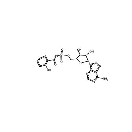 Nc1ncnc2c1ncn2[C@@H]1O[C@H](COS(=O)(=O)NC(=O)c2ccccc2O)[C@@H](O)[C@H]1O